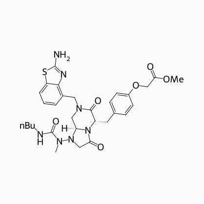 CCCCNC(=O)N(C)N1CC(=O)N2[C@@H](Cc3ccc(OCC(=O)OC)cc3)C(=O)N(Cc3cccc4sc(N)nc34)C[C@@H]21